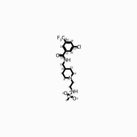 CS(=O)(=O)NCCN1CCC(CNC(=O)c2cc(Cl)cc(C(F)(F)F)c2)CC1